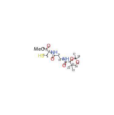 COC(=O)[C@H](CS)NC(=O)CCNC(=O)[C@@H]1OC(C)(C)OCC1(C)C